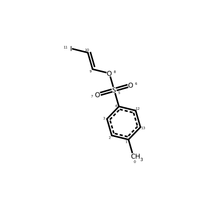 Cc1ccc(S(=O)(=O)OC=CI)cc1